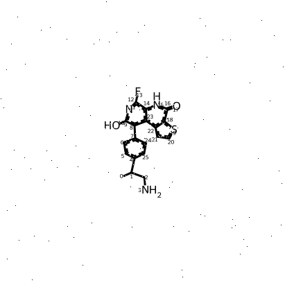 CC(CN)c1ccc(-c2c(O)nc(F)c3[nH]c(=O)c4sccc4c23)cc1